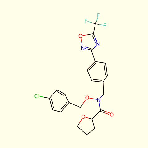 O=C(C1CCCO1)N(Cc1ccc(-c2noc(C(F)(F)F)n2)cc1)OCc1ccc(Cl)cc1